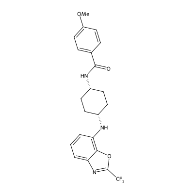 COc1ccc(C(=O)N[C@H]2CC[C@@H](Nc3cccc4nc(C(F)(F)F)oc34)CC2)cc1